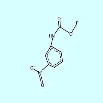 O=C(Nc1cccc([N+](=O)[O-])c1)OF